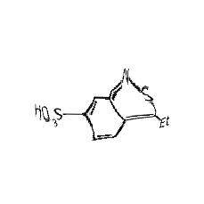 CCc1snc2cc(S(=O)(=O)O)ccc12